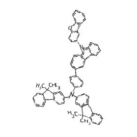 CC1(C)c2ccccc2-c2ccc(N(c3ccc(-c4ccc5c(c4)c4ccccc4n5-c4ccc5oc6ccccc6c5c4)cc3)c3ccc4c(c3)C(C)(C)c3ccccc3-4)cc21